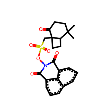 CC1(C)CCC(=O)C2(CS(=O)(=O)ON3C(=O)c4cccc5cccc(c45)C3=O)CCC12